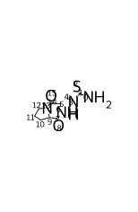 NC(=S)NC[C@@H]1NC(=O)C2CCCN2C1=O